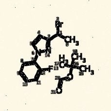 CC(Br)c1ccn(-c2ccccc2F)n1.CC(C)(C)OC=O